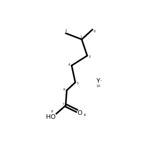 CC(C)CCCCC(=O)O.[Y]